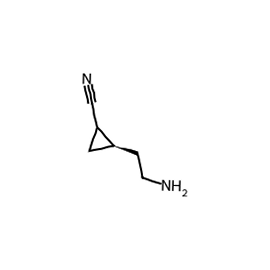 N#CC1C[C@@H]1CCN